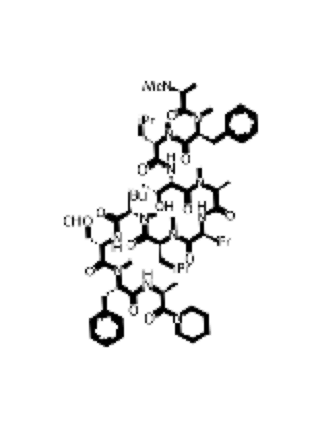 CC[C@H](C)[C@@H](C(=O)N[C@@H](CC=O)C(=O)N(C)[C@@H](Cc1ccccc1)C(=O)N[C@@H](C)C(=O)N1CCCCC1)N(C)C(=O)[C@H](CC(C)C)N(C)C(=O)[C@@H](NC(=O)[C@H](C)N(C)C(=O)[C@@H](NC(=O)[C@H](CC(C)C)N(C)C(=O)[C@H](Cc1ccccc1)N(C)C(=O)[C@H](C)NC)[C@@H](C)O)C(C)C